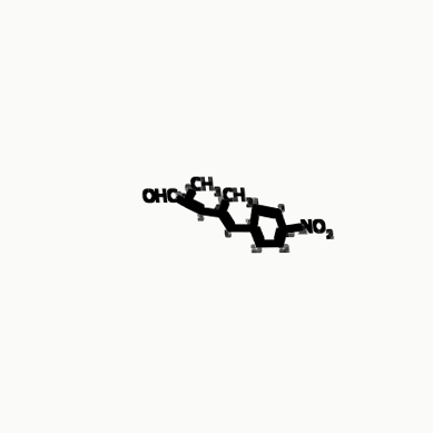 C/C(C=O)=C\C(C)=C\c1ccc([N+](=O)[O-])cc1